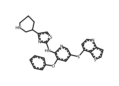 c1ccc(Oc2cc(Sc3ccnc4ccsc34)cnc2Nc2nc(C3CCCNC3)cs2)cc1